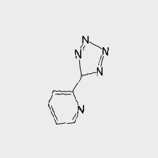 c1ccc(C2N=NN=N2)nc1